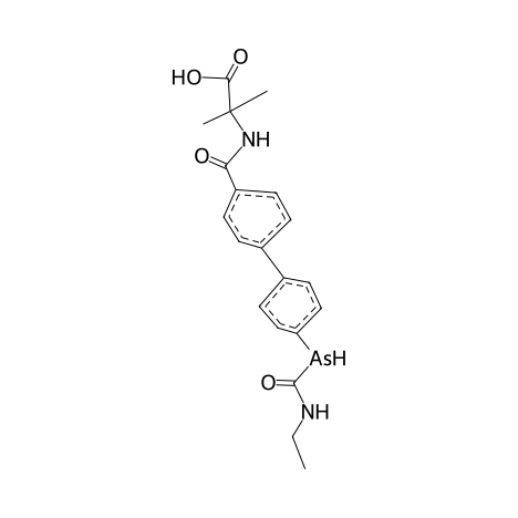 CCNC(=O)[AsH]c1ccc(-c2ccc(C(=O)NC(C)(C)C(=O)O)cc2)cc1